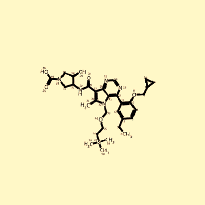 CCc1ccc(OCC2CC2)c(-c2ncnc3c(C(=O)NC4CN(C(=O)O)CC4O)c(C)n(COCC[Si](C)(C)C)c23)c1